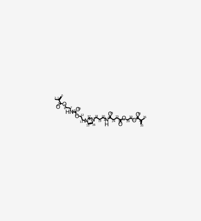 C=C(C)C(=O)OCCNC(=O)OCC[n+]1ccn(CCCNC(=O)CCC(=O)OCCOC(=O)C(=C)C)c1